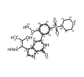 CCCCCCC(C(C)O)n1cnc2c(=O)[nH]c(-c3cc(S(=O)(=O)N4CCOCC4)ccc3OCCC)nc21